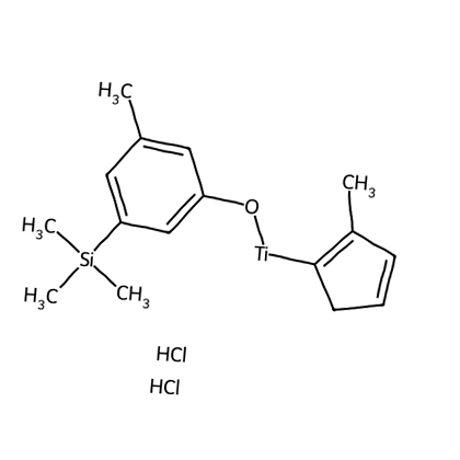 CC1=[C]([Ti][O]c2cc(C)cc([Si](C)(C)C)c2)CC=C1.Cl.Cl